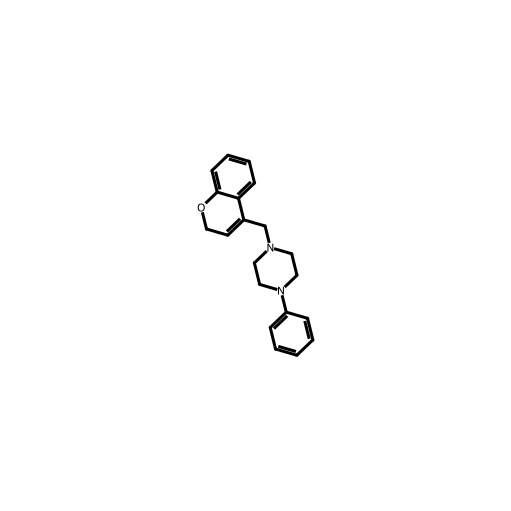 C1=C(CN2CCN(c3ccccc3)CC2)c2ccccc2OC1